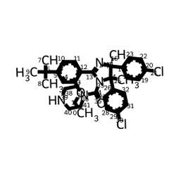 CCOc1cc(C(C)(C)C)ccc1C1=N[C@@](C)(c2ccc(Cl)cc2)C(C)(c2ccc(Cl)cc2)N1C(=O)N1CCNCC1